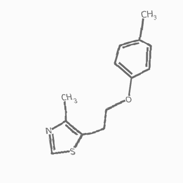 Cc1ccc(OCCc2scnc2C)cc1